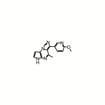 COc1ccc(-c2ncn3c2c(C)nc2[nH]ccc23)cn1